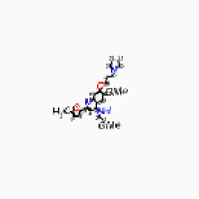 COCCNc1cc(-c2ccc(C)o2)nc2cc(OCCCN3CCCC3)c(OC)cc12